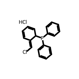 Cl.ClC=C1C=CC=CC1P(c1ccccc1)c1ccccc1